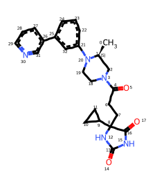 C[C@H]1CN(C(=O)CCC2(C3CC3)NC(=O)NC2=O)CCN1c1cccc(-c2cccnc2)c1